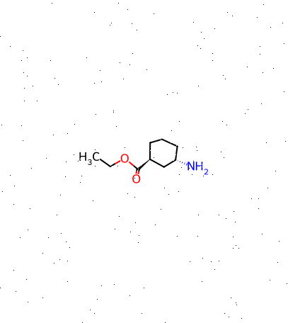 CCOC(=O)[C@H]1CCC[C@H](N)C1